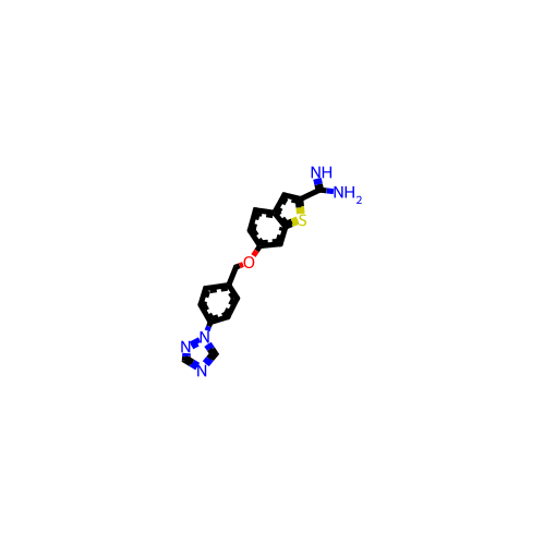 N=C(N)c1cc2ccc(OCc3ccc(-n4cncn4)cc3)cc2s1